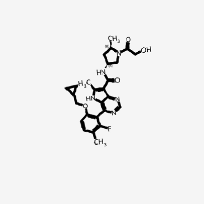 Cc1ccc(OCC2CC2)c(-c2ncnc3c(C(=O)N[C@@H]4C[C@@H](C)N(C(=O)CO)C4)c(C)[nH]c23)c1F